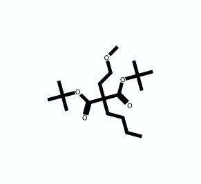 CCCCC(CCOC)(C(=O)OC(C)(C)C)C(=O)OC(C)(C)C